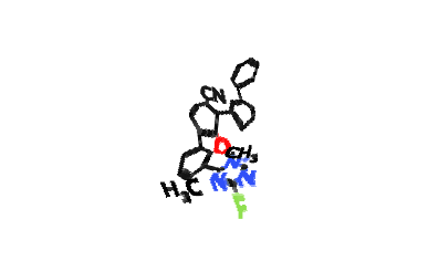 Cc1ccc2c(oc3c(-c4cccc(-c5ccccc5)c4)c(C#N)ccc32)c1-c1nc(F)nc[n+]1C